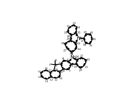 CC1(C)c2cc3c(cc2-c2ccc4ccccc4c21)c1ccccc1n3-c1ccc2c3ccccc3n(-c3ccccc3)c2c1